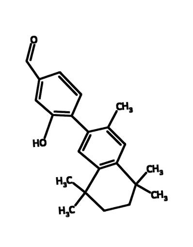 Cc1cc2c(cc1-c1ccc(C=O)cc1O)C(C)(C)CCC2(C)C